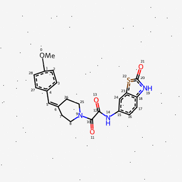 COc1ccc(C=C2CCN(C(=O)C(=O)Nc3ccc4[nH]c(=O)sc4c3)CC2)cc1